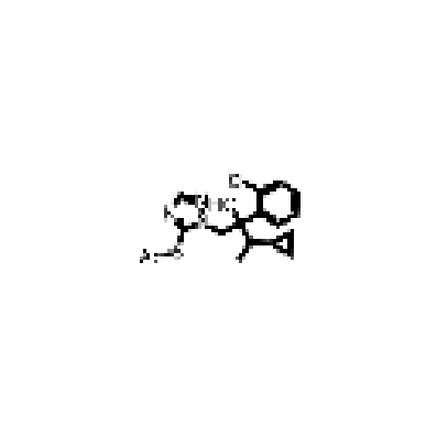 CC(=O)Sc1ncnn1CC(O)(c1ccccc1Cl)C(C)C1CC1